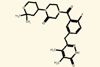 Cc1c(Cc2ccc(F)c(C(=O)N3CCN(C4CCOC(C)(C)C4)C(=O)C3)c2)n[nH]c(=O)c1C